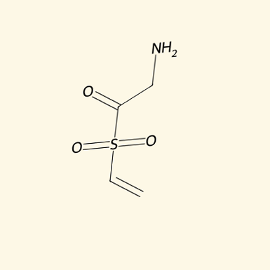 C=CS(=O)(=O)C(=O)CN